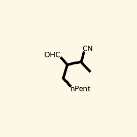 CCCCCCC(C=O)C(C)C#N